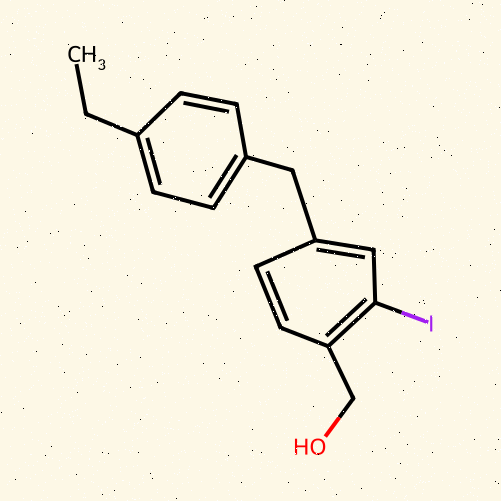 CCc1ccc(Cc2ccc(CO)c(I)c2)cc1